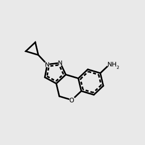 Nc1ccc2c(c1)-c1nn(C3CC3)cc1CO2